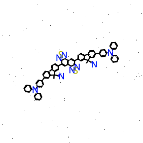 CC1(C#N)c2cc(-c3ccc(N(c4ccccc4)c4ccccc4)cc3)ccc2-c2ccc(-c3cc4c(cc(-c5ccc6c(c5)C(C)(C#N)c5cc(-c7ccc(N(c8ccccc8)c8ccccc8)cc7)ccc5-6)c5nsnc54)c4nsnc34)cc21